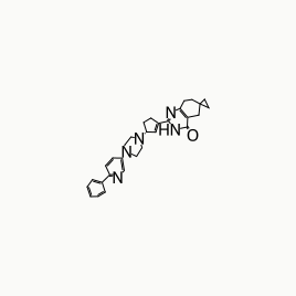 O=c1[nH]c(C2=C[C@H](N3CCN(c4ccc(-c5ccccc5)nc4)CC3)CC2)nc2c1CC1(CC2)CC1